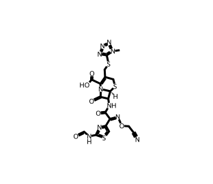 Cn1nnnc1SCC1=C(C(=O)O)N2C(=O)C(NC(=O)C(=NOCC#N)c3csc(NC=O)n3)[C@@H]2SC1